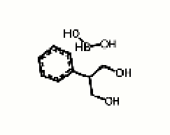 OBO.OCC(CO)c1ccccc1